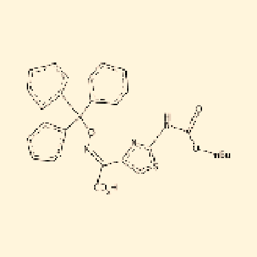 CCCCOC(=O)Nc1nc(C(=NOC(c2ccccc2)(c2ccccc2)c2ccccc2)C(=O)O)cs1